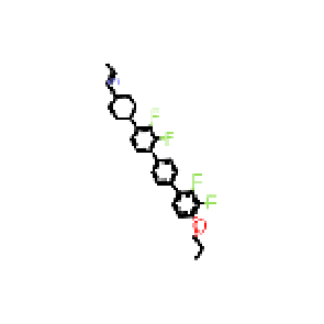 C/C=C/C1CCC(c2ccc(-c3ccc(-c4ccc(OCCC)c(F)c4F)cc3)c(F)c2F)CC1